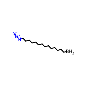 BCCCCCCCCCCCCCCN=[N+]=[N-]